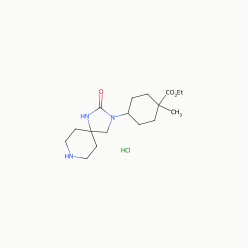 CCOC(=O)C1(C)CCC(N2CC3(CCNCC3)NC2=O)CC1.Cl